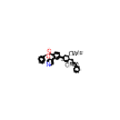 COc1[c]c(-c2ccc(C(=O)OCc3ccccc3)c(-c3ccncc3)c2)cc(OC)c1CCCc1ccccc1